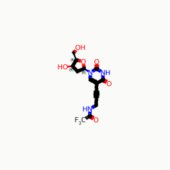 O=C(NCC#Cc1cn([C@H]2C[C@@H](O)[C@@H](CO)O2)c(=O)[nH]c1=O)C(F)(F)F